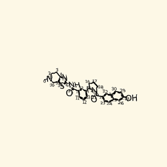 CN1CCc2nc(NC(=O)c3cccc([C@H]4CCCN4C(=O)c4ccc5cc(O)ccc5c4)c3)sc2C1